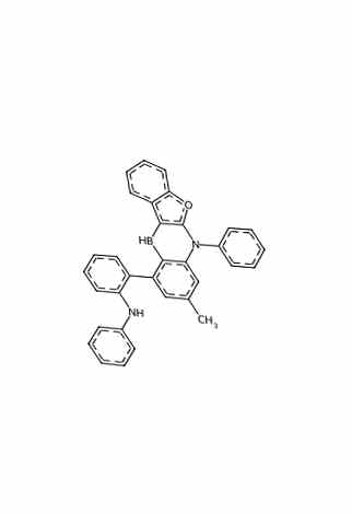 Cc1cc(-c2ccccc2Nc2ccccc2)c2c(c1)N(c1ccccc1)c1oc3ccccc3c1B2